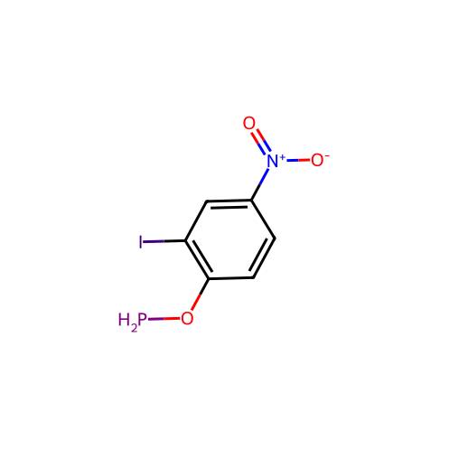 O=[N+]([O-])c1ccc(OP)c(I)c1